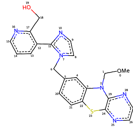 COCN1c2cc(Cn3ccnc3-c3cccnc3CO)ccc2Sc2nccnc21